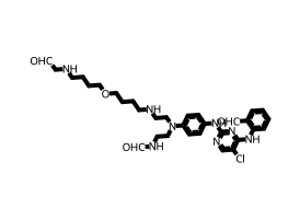 O=CCNCCCCOCCCCNCCN(CCNC=O)c1ccc(Nc2ncc(Cl)c(Nc3ccccc3C=O)n2)cc1